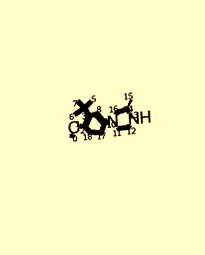 COC1=C(C(C)(C)C)C=C(N2CCN[C@H](C)C2)CC1